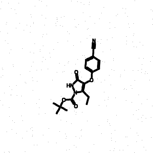 CCc1c(Oc2ccc(C#N)cc2)c(=O)[nH]n1C(=O)OC(C)(C)C